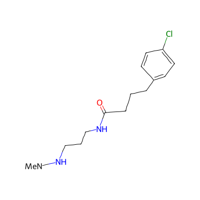 CNNCCCNC(=O)CCCc1ccc(Cl)cc1